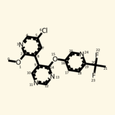 COc1ncc(Cl)cc1-c1cncnc1Oc1ccc(C(C)(F)F)nc1